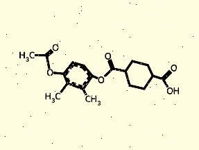 CC(=O)Oc1ccc(OC(=O)C2CCC(C(=O)O)CC2)c(C)c1C